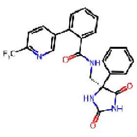 O=C1NC(=O)[C@](CNC(=O)c2ccccc2-c2ccc(C(F)(F)F)nc2)(c2ccccc2)N1